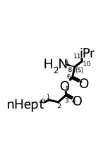 CCCCCCCCCC(=O)OC(=O)[C@@H](N)CC(C)C